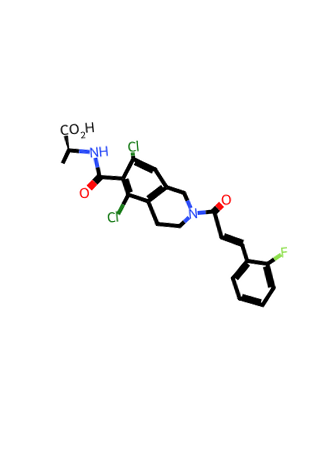 C[C@H](NC(=O)c1c(Cl)cc2c(c1Cl)CCN(C(=O)/C=C/c1ccccc1F)C2)C(=O)O